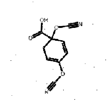 N#COC1=CCC(OC#N)(C(=O)O)C=C1